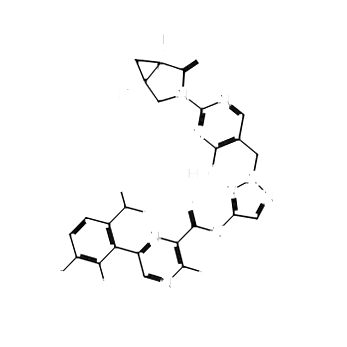 Cc1nc(N2C[C@H]3C[C@H]3C2=O)ncc1Cn1ncc(NC(=O)c2nc(-c3c(C(F)F)ccc(Cl)c3F)cnc2C)n1